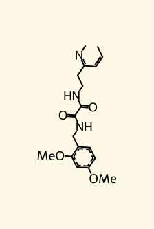 C/C=C\C(CCNC(=O)C(=O)NCc1ccc(OC)cc1OC)=N/C